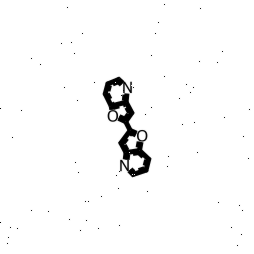 c1cnc2cc(-c3cc4ncccc4o3)oc2c1